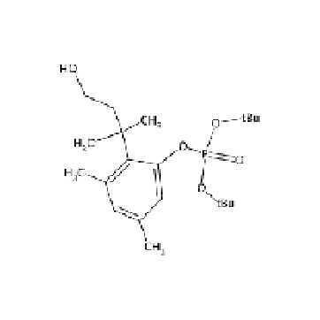 Cc1cc(C)c(C(C)(C)CCO)c(OP(=O)(OC(C)(C)C)OC(C)(C)C)c1